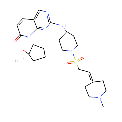 CN1CCC(=CCS(=O)(=O)N2CCC(Nc3ncc4ccc(=O)n([C@@H]5CCC[C@@]5(C)O)c4n3)CC2)CC1